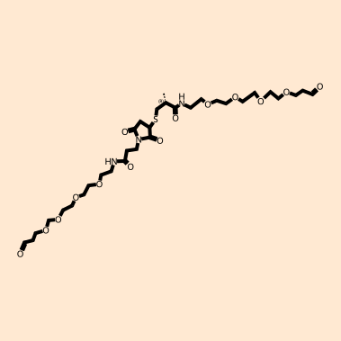 C[C@@H](CSC1CC(=O)N(CCC(=O)NCCOCCOCCOCOCCC=O)C1=O)C(=O)NCCOCCOCCOCCOCCC=O